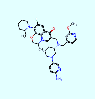 COc1cc(CN(Cc2cn3c4c(c(N5CCCCC5C)c(F)cc4c2=O)OCC3C)[C@H]2CCCN(c3ccc(N)nc3)C2)ccn1